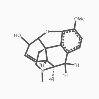 [2H]C1([2H])c2ccc(OC)c3c2[C@]24CCN(C)[C@@]1([2H])[C@]2([2H])C=CC(O)C4O3